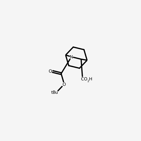 CC(C)(C)OC(=O)N1C2CCC(CC2)C1C(=O)O